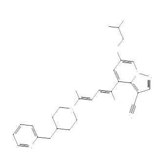 C/C(=C\C=C(/C)N1CCC(Cc2ccccn2)CC1)c1cc(SCC(C)C)cn2ncc(C#N)c12